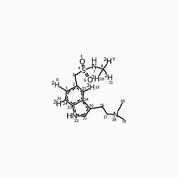 [2H]c1c(CS(=O)(=O)NC([2H])([2H])[2H])c([2H])c2c(CCN(C)C)c[nH]c2c1[2H]